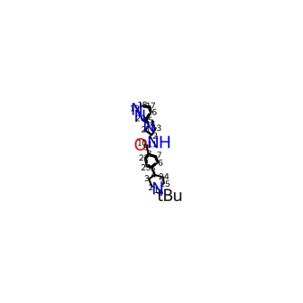 CC(C)(C)N1CCC(c2ccc(C(=O)NC3CN(c4cccnn4)C3)cc2)CC1